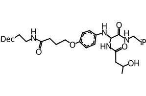 CCCCCCCCCCCCNC(=O)CCCOc1ccc(NC(NC(=O)CC(C)O)C(=O)NCC(C)C)cc1